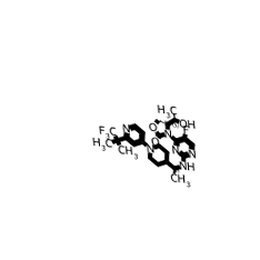 C[C@H](Nc1ncc(F)c(N2C(=O)OC[C@@H]2[C@H](C)O)n1)C1CCN(c2ccnc(C(C)(C)C(F)(F)F)c2)CC1